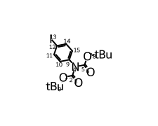 CC(C)(C)OC(=O)N(C(=O)OC(C)(C)C)c1ccc(I)cc1